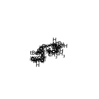 Cc1ncsc1-c1ccc(C(C)NC(=O)[C@@H]2C[C@@H](O)CN2C(=O)C(NC(=O)CCCCCCOc2cccc(-c3ccc(N4CCc5cccc(C(=O)Nc6nc7ccccc7s6)c5C4)nc3C(=O)OC(C)(C)C)c2C)C(C)(C)C)cc1